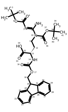 CC(C)(C)OC(=O)N=C(N)N(CC[C@H](NC(=O)OCC1c2ccccc2-c2ccccc21)C(=O)O)C(=O)OC(C)(C)C